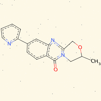 CC1Cn2c(nc3cc(-c4ccccn4)ccc3c2=O)CO1